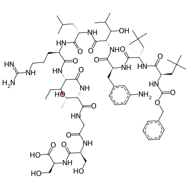 CC[C@H](C)[C@H](NC(=O)[C@@H](CCCNC(=N)N)NC(=O)[C@H](CC(C)C)NC(=O)[C@@H](NC(=O)[C@H](Cc1cccc(N)c1)NC(=O)[C@H](CC(C)(C)C)NC(=O)[C@@H](CC(C)(C)C)NC(=O)OCc1ccccc1)C(O)C(C)C)C(=O)N[C@H](C(=O)NCC(=O)N[C@@H](CO)C(=O)N[C@@H](CO)C(=O)O)[C@H](C)O